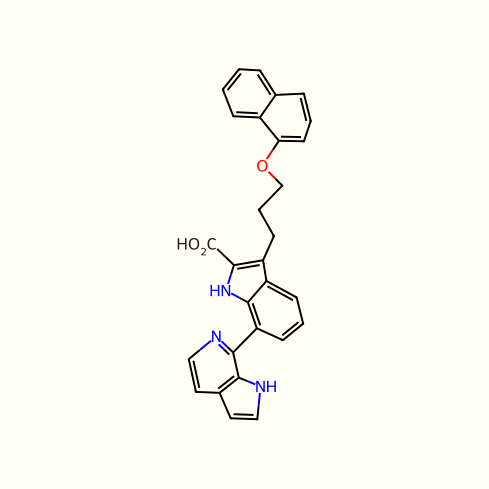 O=C(O)c1[nH]c2c(-c3nccc4cc[nH]c34)cccc2c1CCCOc1cccc2ccccc12